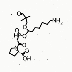 CC(C)(C=O)COC(CCCCCCN)O[PH](=O)CC(=O)N1CCC[C@H]1C(=O)O